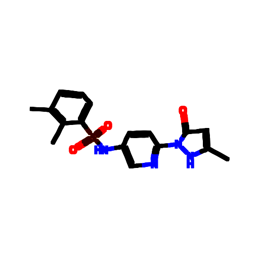 Cc1cc(=O)n(-c2ccc(NS(=O)(=O)c3cccc(C)c3C)cn2)[nH]1